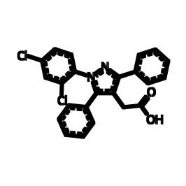 O=C(O)Cc1c(-c2ccccc2)nn(-c2ccc(Cl)cc2Cl)c1-c1ccccc1